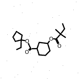 CCC1(OC(=O)C2CCCC(OC(=O)C(C)(C)CC)C2)CCCC1